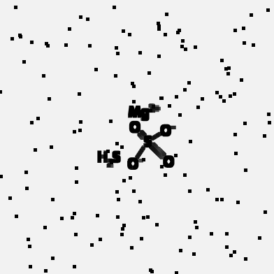 O=S(=O)([O-])[O-].S.[Mg+2]